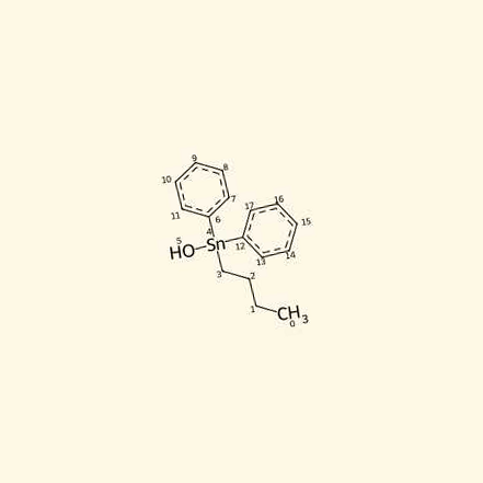 CCC[CH2][Sn]([OH])([c]1ccccc1)[c]1ccccc1